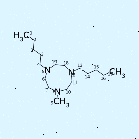 CCCCCN1CCN(C)CCN(CCCCC)CC1